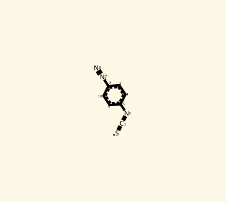 N#[N+]c1ccc(N=C=S)cc1